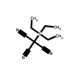 CCS(CC)(CC)C(C#N)(C#N)C#N